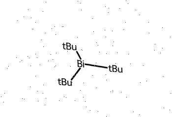 C[C](C)(C)[Bi]([C](C)(C)C)[C](C)(C)C